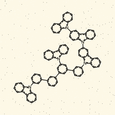 c1cc(-c2cccc(-n3c4ccccc4c4ccccc43)c2)cc(-c2cc(-c3cccc(-n4c5ccccc5c5cc(-n6c7ccccc7c7cc(-n8c9ccccc9c9ccccc98)ccc76)ccc54)c3)cc(-n3c4ccccc4c4ccccc43)c2)c1